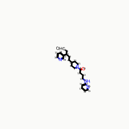 O=CCC(CCC1CCN(C(=O)CCCNc2ccccn2)CC1)c1cccnc1